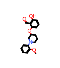 COc1ccccc1N1CCCC(Oc2cccc(O)c2C=O)C1